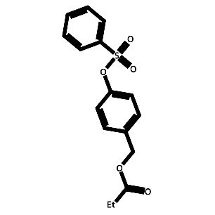 CCC(=O)OCc1ccc(OS(=O)(=O)c2ccccc2)cc1